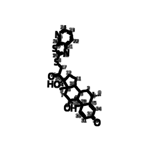 C[C@H]1CC2C([C@@H](O)CC3(C)C2CC[C@]3(O)C(=O)CSc2nc3cccnc3s2)C2(C)C=CC(=O)C=C12